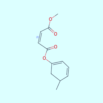 COC(=O)/C=C\C(=O)OC1=CC=CC(C)C1